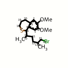 COc1cc2c(cc1OC)C(C(C)CCC(C)CBr)SCCC2